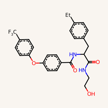 CCc1ccc(CC(NC(=O)c2ccc(Oc3ccc(C(F)(F)F)cc3)cc2)C(=O)NCCO)cc1